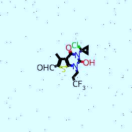 Cc1c(C=O)sc2c1C(=O)N(C1(Cl)CC1)C(O)N2CCC(F)(F)F